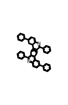 C1=C(c2ccccc2)CC2C(=C1)N=C(c1ccccc1)C1=C2C2CC1c1c2c(-c2ccccc2)nc2ccc(-c3ccccc3)cc12